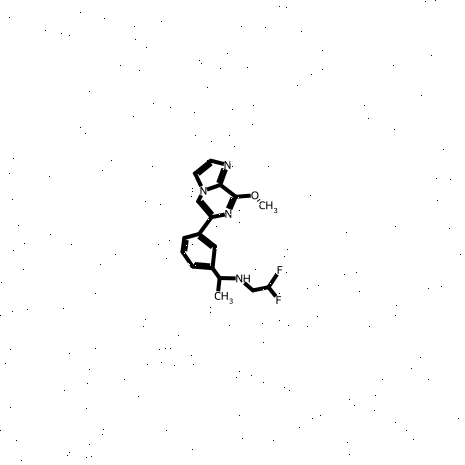 COc1nc(-c2cccc(C(C)NCC(F)F)c2)cn2ccnc12